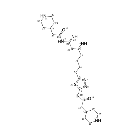 N=C(CCCCc1nnc(NC(=O)CC2CCNCC2)s1)SC(=N)NC(=O)CC1CCNCC1